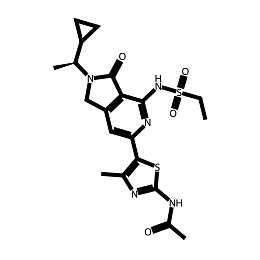 CCS(=O)(=O)Nc1nc(-c2sc(NC(C)=O)nc2C)cc2c1C(=O)N([C@@H](C)C1CC1)C2